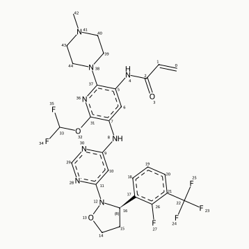 C=CC(=O)Nc1cc(Nc2cc(N3OCC[C@@H]3c3cccc(C(F)(F)F)c3F)ncn2)c(OC(F)F)nc1N1CCN(C)CC1